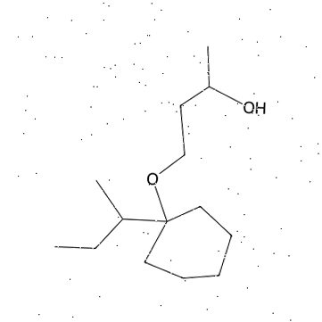 CCC(C)C1(OCCC(C)O)CCCCC1